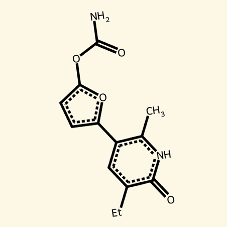 CCc1cc(-c2ccc(OC(N)=O)o2)c(C)[nH]c1=O